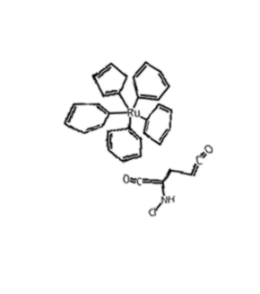 C1=CC[C]([Ru]([c]2ccccc2)([c]2ccccc2)([c]2ccccc2)[c]2ccccc2)=C1.O=C=CCC(=C=O)NCl